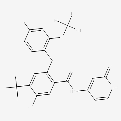 [2H]C([2H])([2H])Oc1cc(F)ccc1Cc1cc(C(F)(F)F)c(Cl)cc1C(=O)Nc1cc[nH]c(=O)c1